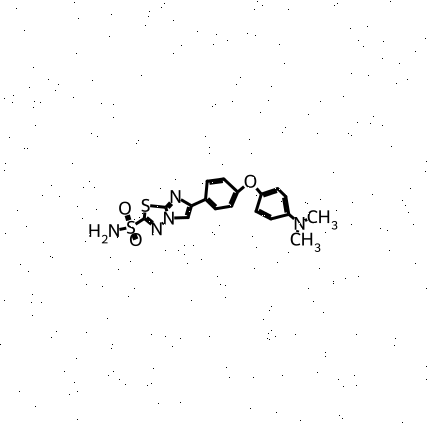 CN(C)c1ccc(Oc2ccc(-c3cn4nc(S(N)(=O)=O)sc4n3)cc2)cc1